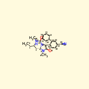 CCCC[C@H]1N(C)C(=O)[C@](c2ccccc2)(c2ccc(C#N)cc2)N1C(=O)NC